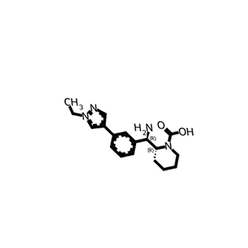 CCn1cc(-c2cccc([C@@H](N)[C@H]3CCCCN3C(=O)O)c2)cn1